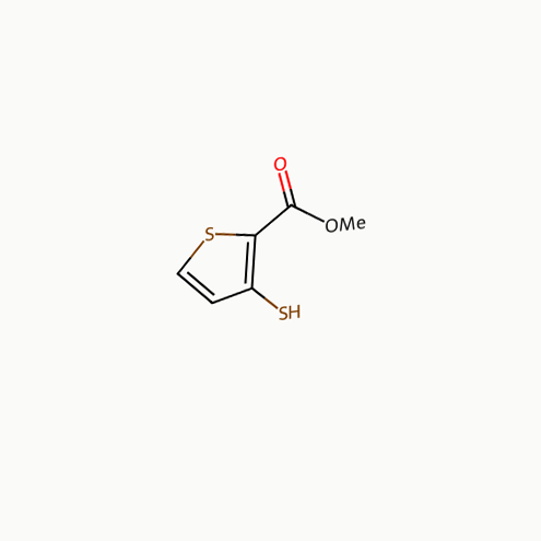 COC(=O)c1sccc1S